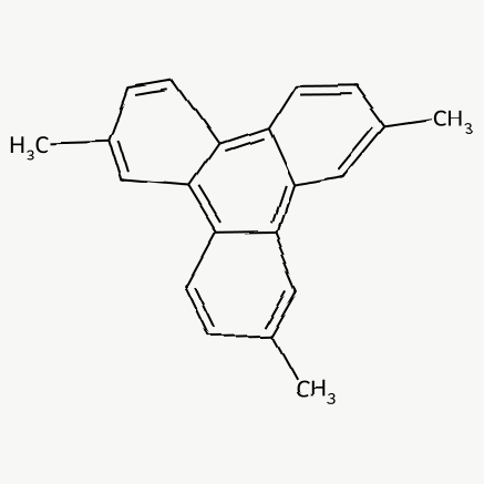 Cc1ccc2c3ccc(C)cc3c3cc(C)ccc3c2c1